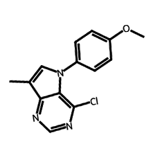 COc1ccc(-n2cc(C)c3ncnc(Cl)c32)cc1